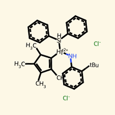 CC1=C(C)C(C)[C]([Hf+2]([NH]c2ccccc2C(C)(C)C)[SiH](c2ccccc2)c2ccccc2)=C1C.[Cl-].[Cl-]